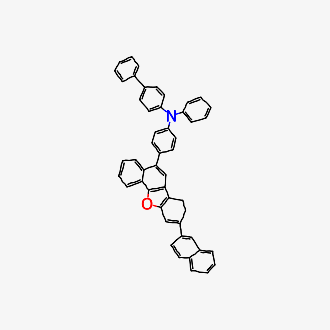 C1=C(c2ccc3ccccc3c2)CCc2c1oc1c2cc(-c2ccc(N(c3ccccc3)c3ccc(-c4ccccc4)cc3)cc2)c2ccccc21